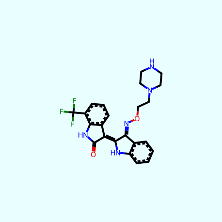 O=C1Nc2c(cccc2C(F)(F)F)/C1=C1/Nc2ccccc2/C1=N\OCCN1CCNCC1